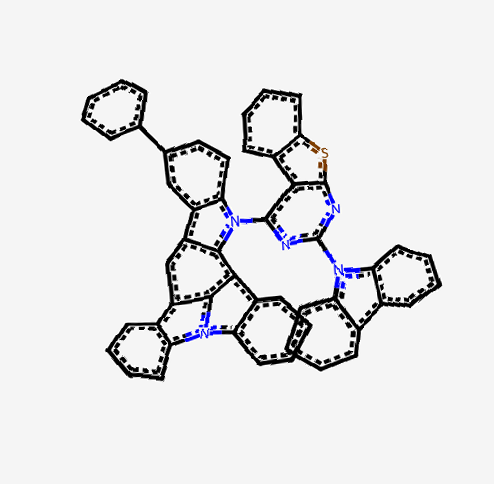 c1ccc(-c2ccc3c(c2)c2cc4c5ccccc5n5c6ccccc6c(c2n3-c2nc(-n3c6ccccc6c6ccccc63)nc3sc6ccccc6c23)c45)cc1